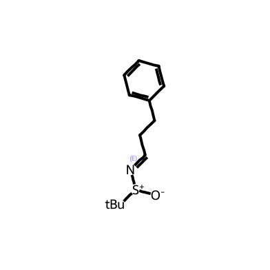 CC(C)(C)[S+]([O-])/N=C/CCc1ccccc1